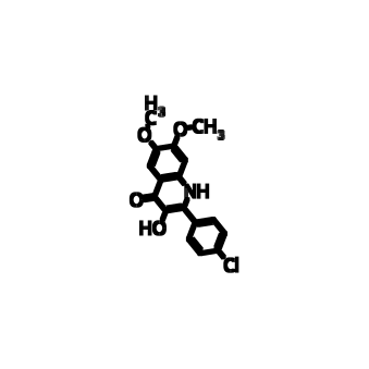 COc1cc2[nH]c(-c3ccc(Cl)cc3)c(O)c(=O)c2cc1OC